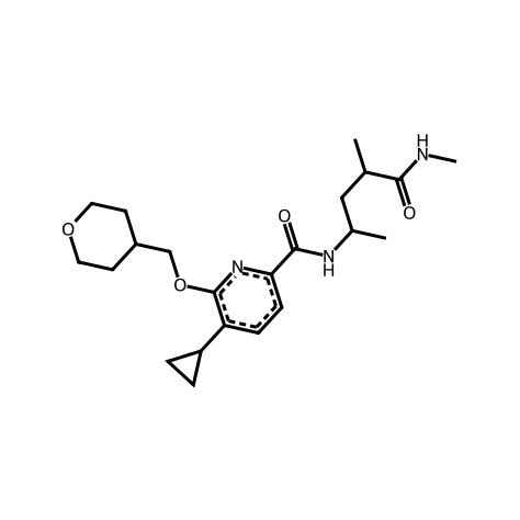 CNC(=O)C(C)CC(C)NC(=O)c1ccc(C2CC2)c(OCC2CCOCC2)n1